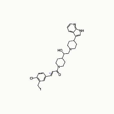 O=C(/C=C/c1ccc(Cl)c(CI)c1)N1CCC(C(O)CN2CCC(c3c[nH]c4ncccc34)CC2)CC1